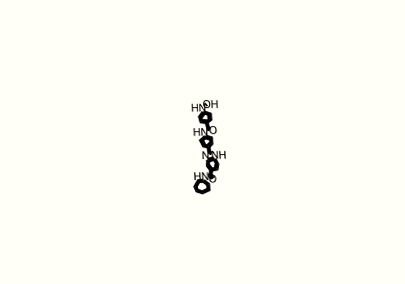 O=C(Nc1ccc(-c2nc3cc(C(=O)NC4CCCCCC4)ccc3[nH]2)cc1)c1ccc(NO)cc1